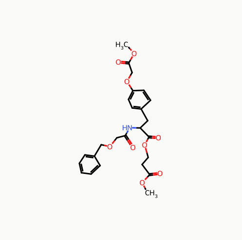 COC(=O)CCOC(=O)C(Cc1ccc(OCC(=O)OC)cc1)NC(=O)COCc1ccccc1